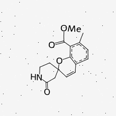 COC(=O)c1c(C)ccc2c1OC1(C=C2)CCNC(=O)C1